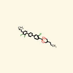 CCCCc1ccc(-c2ccc(-c3ccc(C4OCC(CCC)CO4)c(F)c3)cc2)c(F)c1F